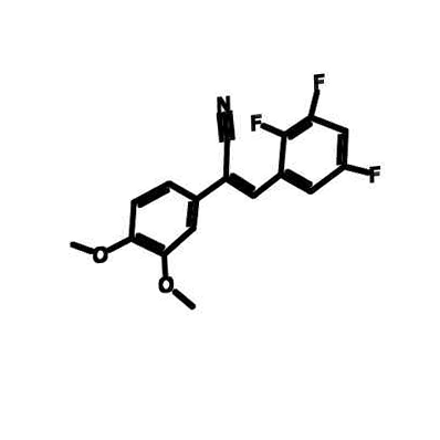 COc1ccc(C(C#N)=Cc2cc(F)cc(F)c2F)cc1OC